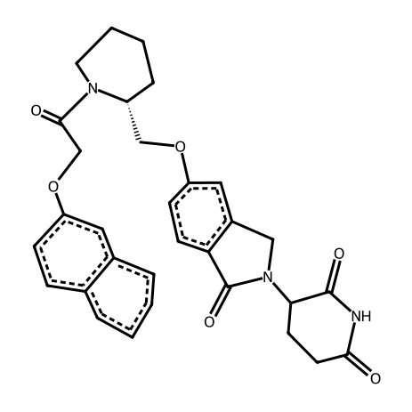 O=C1CCC(N2Cc3cc(OC[C@H]4CCCCN4C(=O)COc4ccc5ccccc5c4)ccc3C2=O)C(=O)N1